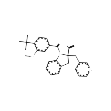 COc1cc(C(=O)N2c3ccccc3CC2(Cc2cccnc2)C(=O)O)ccc1C(C)(C)C